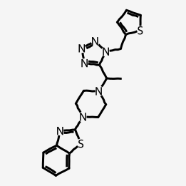 CC(c1nnnn1Cc1cccs1)N1CCN(c2nc3ccccc3s2)CC1